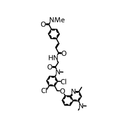 CNC(=O)c1ccc(C=CC(=O)NCC(=O)N(C)c2ccc(Cl)c(COc3cccc4c(N(C)C)cc(C)nc34)c2Cl)cc1